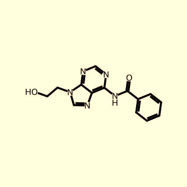 O=C(Nc1ncnc2c1ncn2CCO)c1ccccc1